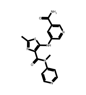 Cc1nc(C(=O)N(C)c2ccncc2)c(Nc2cncc(C(N)=O)c2)s1